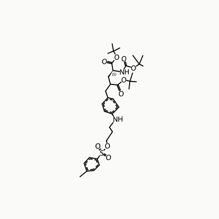 Cc1ccc(S(=O)(=O)OCCCNc2ccc(CC(C[C@H](NC(=O)OC(C)(C)C)C(=O)OC(C)(C)C)C(=O)OC(C)(C)C)cc2)cc1